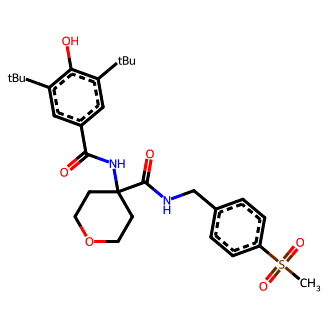 CC(C)(C)c1cc(C(=O)NC2(C(=O)NCc3ccc(S(C)(=O)=O)cc3)CCOCC2)cc(C(C)(C)C)c1O